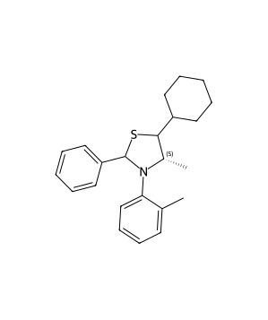 Cc1ccccc1N1C(c2ccccc2)SC(C2CCCCC2)[C@@H]1C